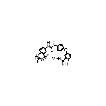 CNC(=N)c1cc(Oc2ccc(NC(=O)Nc3ccc4c(c3)C(F)(F)OC(F)(F)O4)cc2)ccn1